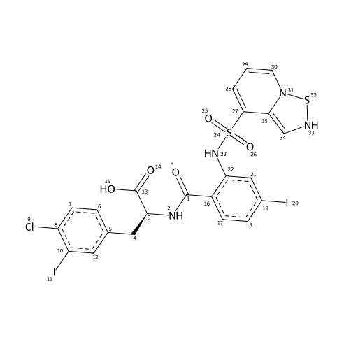 O=C(N[C@@H](Cc1ccc(Cl)c(I)c1)C(=O)O)c1ccc(I)cc1NS(=O)(=O)C1=CC=CN2SNC=C12